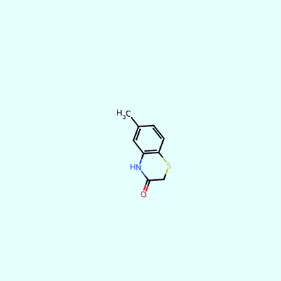 Cc1ccc2c(c1)NC(=O)CS2